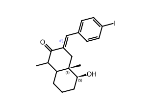 CC1C(=O)/C(=C/c2ccc(I)cc2)C[C@@]2(C)C1CCC[C@@H]2O